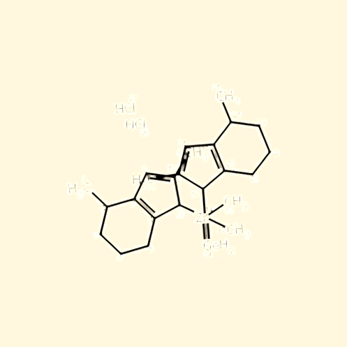 CC1=CC2=C(CCCC2C)[CH]1[Zr]([CH3])([CH3])(=[GeH2])[CH]1C(C)=CC2=C1CCCC2C.Cl.Cl